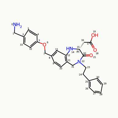 NCc1ccc(OCc2ccc3c(c2)N[C@H](CC(=O)O)C(=O)N(CCc2ccccc2)C3)cc1